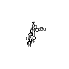 Cn1c(=O)n(-c2ccc(C[C@@H](COC3CC3)NC(=O)OC(C)(C)C)cn2)c(=O)c2ccncc21